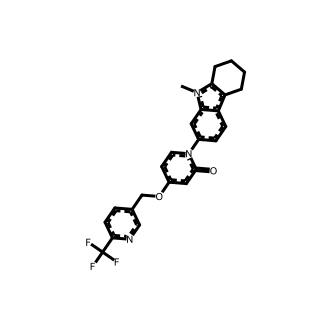 Cn1c2c(c3ccc(-n4ccc(OCc5ccc(C(F)(F)F)nc5)cc4=O)cc31)CCCC2